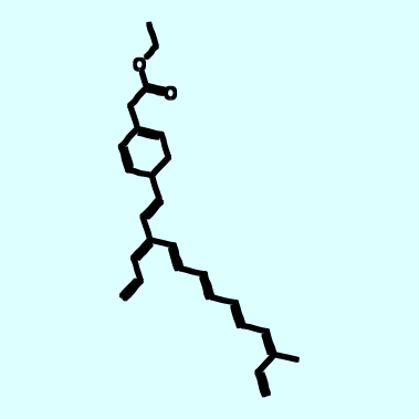 C=C/C=C(\C=C\C=C\C=C\C=C(\C)C=C)/C=C/C1C=CC(CC(=O)OCC)=CC1